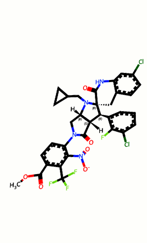 COC(=O)c1ccc(N2C[C@H]3[C@@H](C2=O)[C@H](c2cccc(Cl)c2F)[C@@]2(Cc4ccc(Cl)cc4NC2=O)N3CC2CC2)c([N+](=O)[O-])c1C(F)(F)F